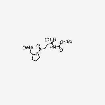 COCC1CCCN1C(=O)CCC(NC(=O)OC(C)(C)C)C(=O)O